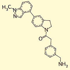 Cn1ncc2c(-c3ccc4c(c3)CCN4C(=O)Cc3cccc(CN)c3)cccc21